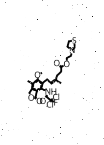 COc1c(C)c2c(c(NC(=O)C(F)(Cl)Cl)c1CC=C(C)CCC(=O)OCCN1CCSC1)C(=O)OC2